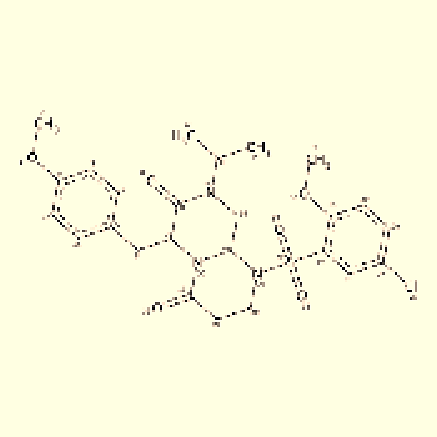 COc1ccc(CC2C(=O)N(C(C)C)CC3N2C(=O)CCN3S(=O)(=O)c2cc(Cl)ccc2OC)cc1